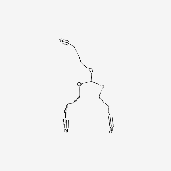 N#CCCOC(OCCC#N)OCCC#N